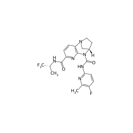 Cc1nc(NC(=O)N2c3nc(C(=O)N[C@H](C)C(F)(F)F)ccc3N3CC[C@H]2C3)ccc1F